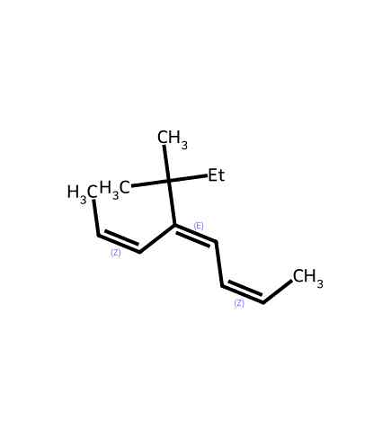 C\C=C/C=C(\C=C/C)C(C)(C)CC